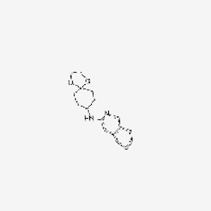 c1ccc2cc(NC3CCC4(CC3)OCCO4)ncc2c1